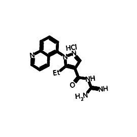 CCc1c(C(=O)NC(=N)N)cnn1-c1cccc2ncccc12.Cl